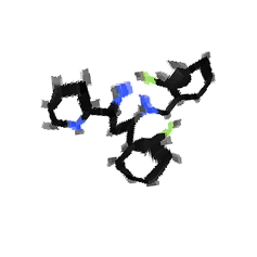 N=C(/C=C(\NCc1ccccc1F)C1C=CC=CC1F)c1ccccn1